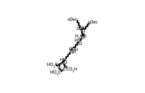 CCCCCCCCCCCCCCCC(=O)OC[C@@H](COP(C)(=O)OCCNC(=O)CCCCCNC(=O)NCCCCCCNC(=O)CN1CCN(CC(=O)O)CCN(CC(=O)O)CCN(CC(=O)O)CC1)OC(=O)CCCCCCCCCCCCCCC